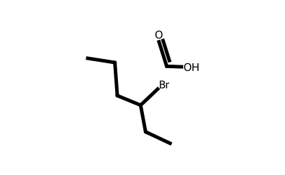 CCCC(Br)CC.O=CO